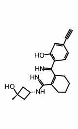 C#Cc1ccc(C(=N)C2=C(C(=N)N[C@H]3C[C@@](C)(O)C3)CCCC2)c(O)c1